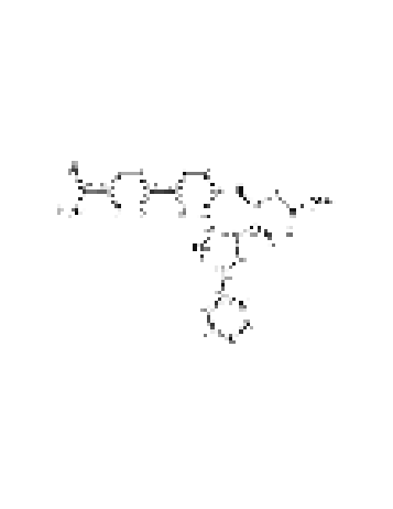 COC(=O)CC1=Nc2ccc(-c3ccc(C(=N)N)cc3)cc2C(NC=O)N(CCc2ccccc2)C1=O